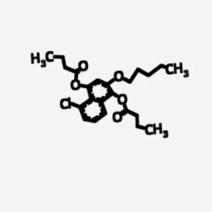 CCCCCOc1cc(OC(=O)CCC)c2c(Cl)cccc2c1OC(=O)CCC